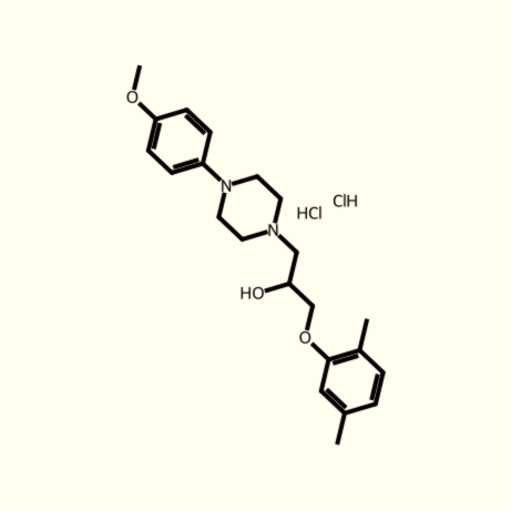 COc1ccc(N2CCN(CC(O)COc3cc(C)ccc3C)CC2)cc1.Cl.Cl